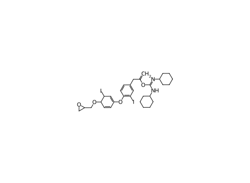 C=C(Cc1ccc(OC2=CC(I)C(OCC3CO3)C=C2)c(I)c1)O/C(=N/C1CCCCC1)NC1CCCCC1